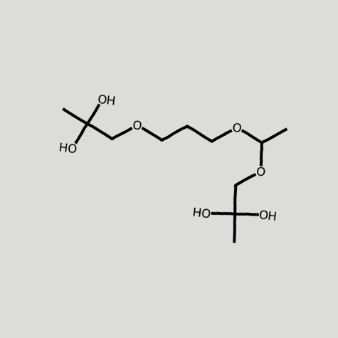 CC(OCCCOCC(C)(O)O)OCC(C)(O)O